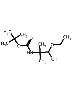 CCOC(O)C(C)(C)NC(=O)OC(C)(C)C